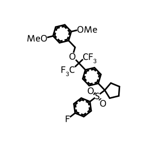 COc1ccc(OC)c(COC(c2ccc(C3(S(=O)(=O)c4ccc(F)cc4)CCCC3)cc2)(C(F)(F)F)C(F)(F)F)c1